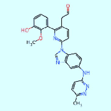 COc1c(O)cccc1-c1nc(-n2cnc3cc(Nc4ccc(C)nn4)ccc32)ccc1CC=O